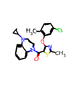 Cc1nc(Oc2cc(Cl)ccc2C)c(C(=O)N2CCN(C3CC3)c3ccccc32)s1